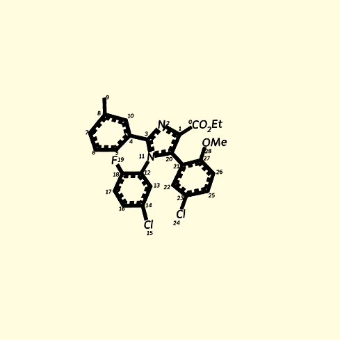 CCOC(=O)c1nc(-c2cccc(C)c2)n(-c2cc(Cl)ccc2F)c1-c1cc(Cl)ccc1OC